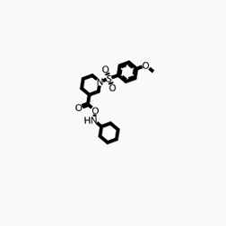 COc1ccc(S(=O)(=O)N2CCCC(C(=O)ONC3CCCCC3)C2)cc1